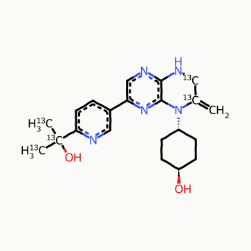 C=[13C]1[13CH2]Nc2ncc(-c3ccc([13C]([13CH3])([13CH3])O)nc3)nc2N1[C@H]1CC[C@H](O)CC1